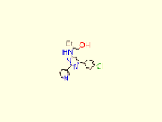 CC[C@H](CO)Nc1cc(-c2ccc(Cl)cc2)nc(-c2cccnc2)n1